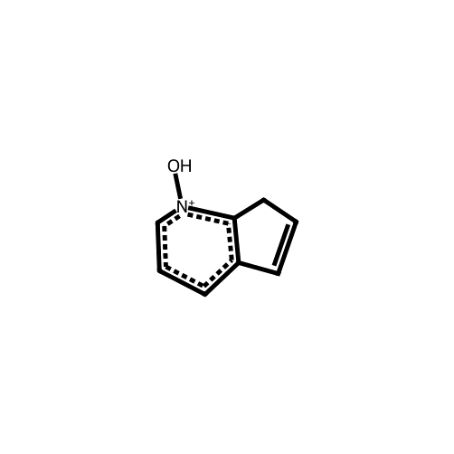 O[n+]1cccc2c1CC=C2